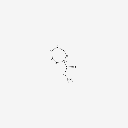 NCC(=O)N1CCCCCC1